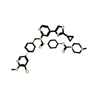 COc1ncc([C@H]2CC[C@H](CN(c3cc(-c4coc(C5CC5)n4)ccn3)C(=O)[C@H]3CC[C@H](OC(=O)N4CCN(C)CC4)CC3)CC2)cc1Cl